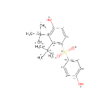 C[Si](C)(C)c1c(O)ccc(S(=O)(=O)c2ccc(O)cc2)c1[Si](C)(C)C